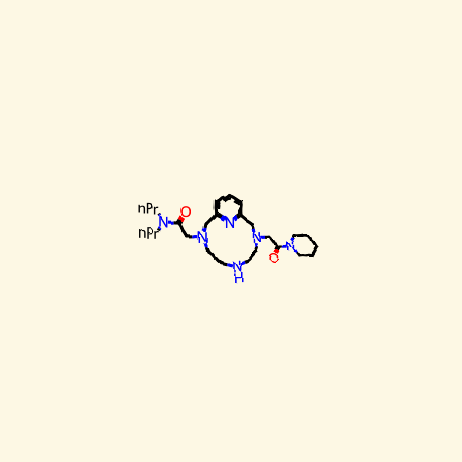 CCCN(CCC)C(=O)CN1CCNCCN(CC(=O)N2CCCCC2)Cc2cccc(n2)C1